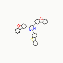 c1ccc2c(c1)oc1ccc(-c3cc(-c4ccc5oc6ccccc6c5c4)nc(-c4ccc5c(c4)sc4ccccc45)n3)cc12